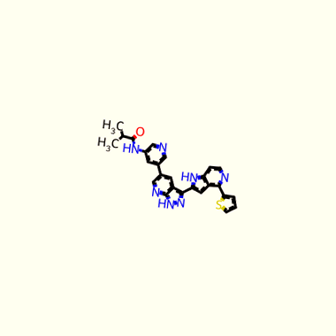 CC(C)C(=O)Nc1cncc(-c2cnc3[nH]nc(-c4cc5c(-c6cccs6)nccc5[nH]4)c3c2)c1